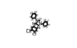 Clc1cc2nc3c(nc2cc1Cl)N(c1ccccc1)CN3c1ccccc1